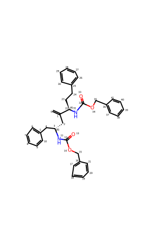 C=C(C[C@@H](Cc1ccccc1)NC(=O)OCc1ccccc1)[C@@H](CCc1ccccc1)NC(=O)OCc1ccccc1